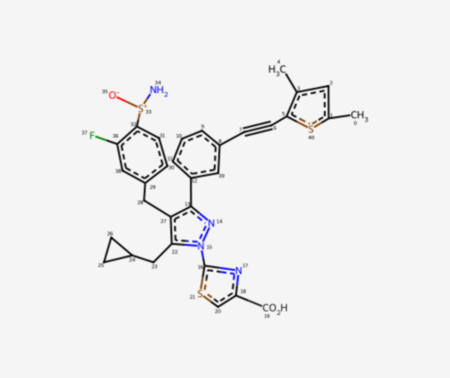 Cc1cc(C)c(C#Cc2cccc(-c3nn(-c4nc(C(=O)O)cs4)c(CC4CC4)c3Cc3ccc([S+](N)[O-])c(F)c3)c2)s1